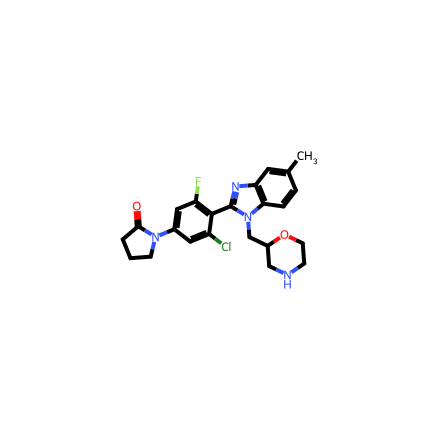 Cc1ccc2c(c1)nc(-c1c(F)cc(N3CCCC3=O)cc1Cl)n2CC1CNCCO1